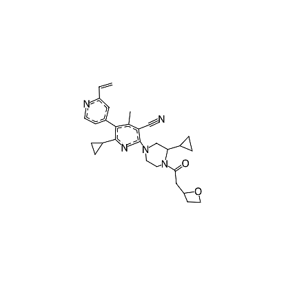 C=Cc1cc(-c2c(C3CC3)nc(N3CCN(C(=O)CC4CCO4)C(C4CC4)C3)c(C#N)c2C)ccn1